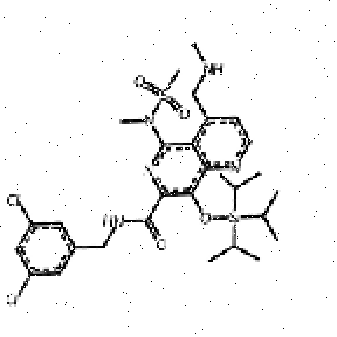 CNCc1ccnc2c(O[Si](C(C)C)(C(C)C)C(C)C)c(C(=O)NCc3cc(Cl)cc(Cl)c3)nc(N(C)S(C)(=O)=O)c12